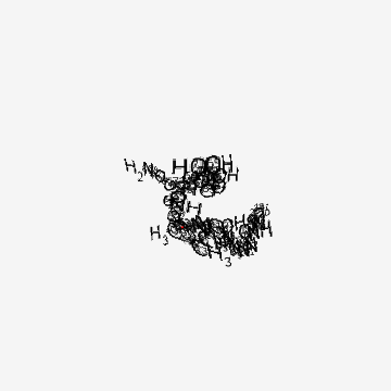 Cc1c(-c2ccc(N3CCn4cnc(C(=O)Nc5nc6ccccc6s5)c4C3)nc2C(=O)O)cnn1CC12CC3(C)CC(C)(C1)CC(OCCNC(=O)OCc1ccc(O[C@@H]4O[C@H](C(=O)O)[C@@H](O)[C@H](O)[C@H]4O)cc1OCCOCCN)(C3)C2